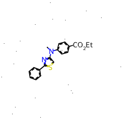 CCOC(=O)c1ccc(N(C)c2csc(-c3ccccc3)n2)cc1